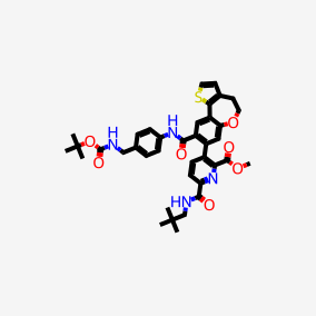 COC(=O)c1nc(C(=O)NCC(C)(C)C)ccc1-c1cc2c(cc1C(=O)Nc1ccc(CNC(=O)OC(C)(C)C)cc1)-c1sccc1CCO2